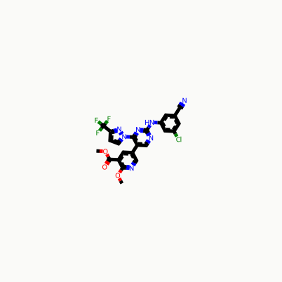 COC(=O)c1cc(-c2cnc(Nc3cc(Cl)cc(C#N)c3)nc2-n2ccc(C(F)(F)F)n2)cnc1OC